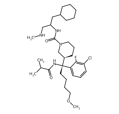 CNCC(CC1CCCCC1)NC(=O)N1CCC[C@@H]([C@@](CCCCOC)(NC(=O)C(C)C)c2cccc(Cl)c2F)C1